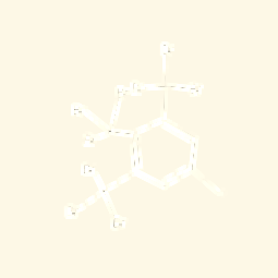 [CH]c1cc(C(Br)(Br)Br)c(C(Br)(Br)Br)c(C(Br)(Br)Br)c1